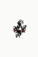 CC(C)CNC(=S)N1CCN(c2ccc(N(Cc3cnc[nH]3)C(=O)c3cccc(F)c3)cc2)CC1.COc1cccc(C(=O)N(Cc2cnc[nH]2)c2ccc(N3CCN(C(=S)NCC(C)C)CC3)cc2)c1